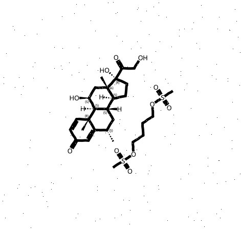 CS(=O)(=O)OCCCCOS(C)(=O)=O.C[C@H]1C[C@@H]2[C@H]([C@@H](O)C[C@@]3(C)[C@H]2CC[C@]3(O)C(=O)CO)[C@@]2(C)C=CC(=O)C=C12